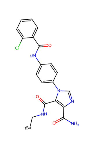 CC(C)(C)CNC(=O)c1c(C(N)=O)ncn1-c1ccc(NC(=O)c2ccccc2Cl)cc1